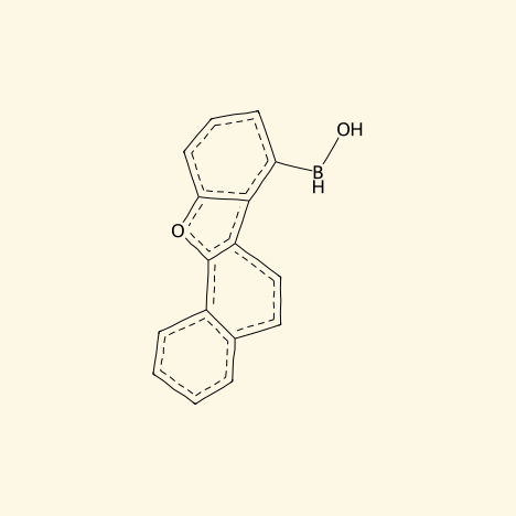 OBc1cccc2oc3c4ccccc4ccc3c12